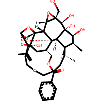 C=C(C)[C@]12C[C@@H](COC(=O)c3ccccc3)[C@@]34O[C@@]5(O[C@@H]1[C@@H]3[C@@H]1O[C@]1(CO)[C@@H](O)[C@]1(O)[C@H]4[C@H]([C@H](C)[C@@H]1O)[C@H](C)CCCCCC[C@H]5O)O2